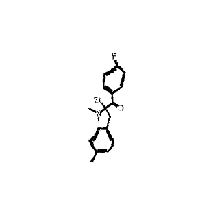 CCC(Cc1ccc(C)cc1)(C(=O)c1ccc(F)cc1)N(C)C